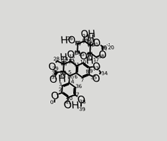 COc1cc([C@@H]2c3cc4c(cc3[C@@H](O[C@H]3O[C@@H]5CO[C@@H](C)O[C@H]5[C@H](O)[C@H]3O)[C@H]3COC(=O)[C@H]23)OCO4)cc(OC)c1O